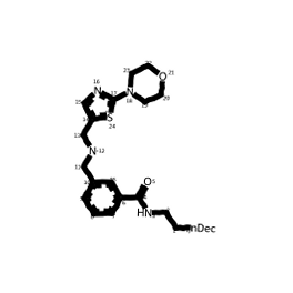 CCCCCCCCCCCCNC(=O)c1cccc(C[N]Cc2cnc(N3CCOCC3)s2)c1